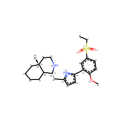 CCS(=O)(=O)c1ccc(OC)c(-c2ccc(C[C@H]3NCC[C@H]4CCCCC43)[nH]2)c1